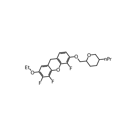 CCCC1CCC(COc2ccc3c(c2F)Oc2c(cc(OCC)c(F)c2F)C3)OC1